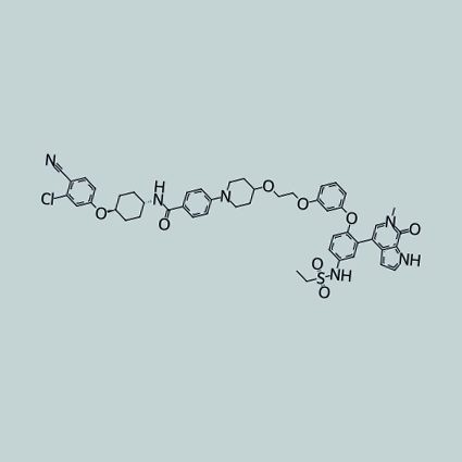 CCS(=O)(=O)Nc1ccc(Oc2cccc(OCCOC3CCN(c4ccc(C(=O)N[C@H]5CC[C@H](Oc6ccc(C#N)c(Cl)c6)CC5)cc4)CC3)c2)c(-c2cn(C)c(=O)c3[nH]ccc23)c1